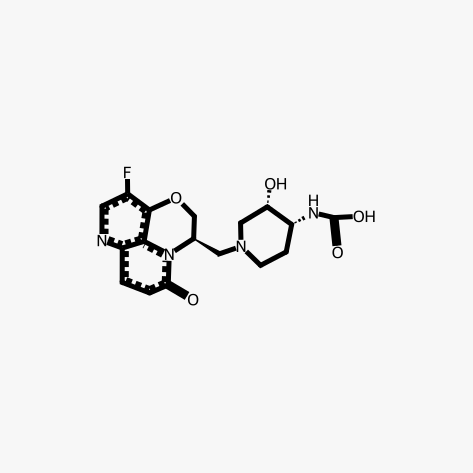 O=C(O)N[C@@H]1CCN(C[C@@H]2COc3c(F)cnc4ccc(=O)n2c34)C[C@@H]1O